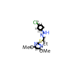 CCC(C=NNc1ccc(Cl)cc1)Sc1nc(OC)cc(OC)n1